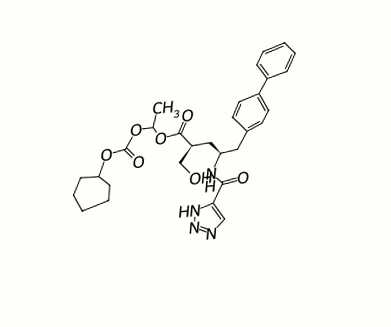 CC(OC(=O)OC1CCCCC1)OC(=O)[C@H](CO)C[C@@H](Cc1ccc(-c2ccccc2)cc1)NC(=O)c1cnn[nH]1